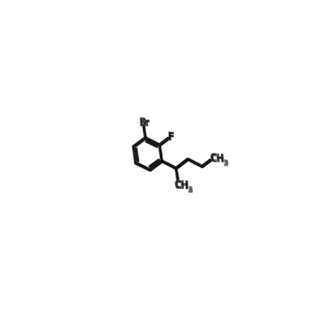 CCCC(C)c1cccc(Br)c1F